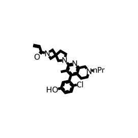 C=CC(=O)N1CC2(CCN(c3nc4c(c(-c5cc(O)ccc5Cl)c3C)CCN(CCC)C4)C2)C1